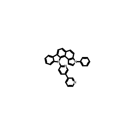 c1ccc(-n2ccc3c4c(ccc5c6ccccc6n(-c6ccc(-c7cccnc7)cn6)c54)ccc32)cc1